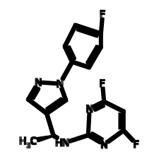 C[C@H](Nc1nc(F)cc(F)n1)c1cnn(-c2ccc(F)cc2)c1